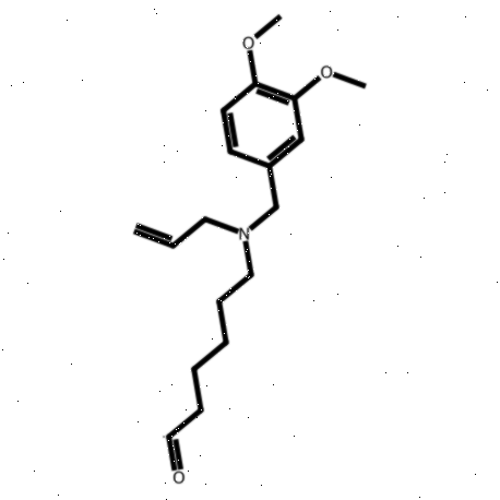 C=CCN(CCCCC[C]=O)Cc1ccc(OC)c(OC)c1